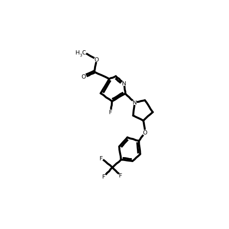 COC(=O)c1cnc(N2CCC(Oc3ccc(C(F)(F)F)cc3)C2)c(F)c1